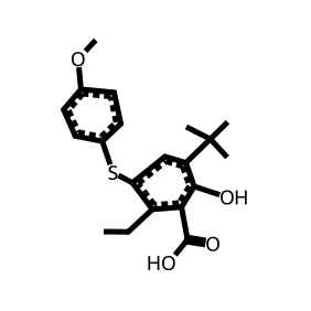 CCc1c(Sc2ccc(OC)cc2)cc(C(C)(C)C)c(O)c1C(=O)O